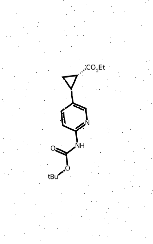 CCOC(=O)[C@H]1CC1c1ccc(NC(=O)OC(C)(C)C)nc1